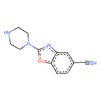 N#Cc1ccc2oc(N3CCNCC3)nc2c1